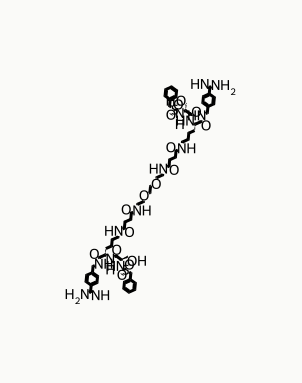 N=C(N)c1ccc(CNC(=O)[C@H](CCCCNC(=O)CCC(=O)NCCOCCOCCNC(=O)CCC(=O)NCCCC[C@H](NC(=O)[C@@H](CO)NS(=O)(=O)Cc2ccccc2)C(=O)NCc2ccc(C(=N)N)cc2)NC(=O)[C@@H](CO)NS(=O)(=O)Cc2ccccc2)cc1